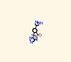 CC1(c2ncncc2F)NC(=O)c2cc(-c3cn[nH]c3)ccc21